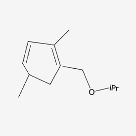 CC1=C(COC(C)C)CC(C)C=C1